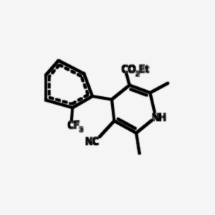 CCOC(=O)C1=C(C)NC(C)=C(C#N)C1c1ccccc1C(F)(F)F